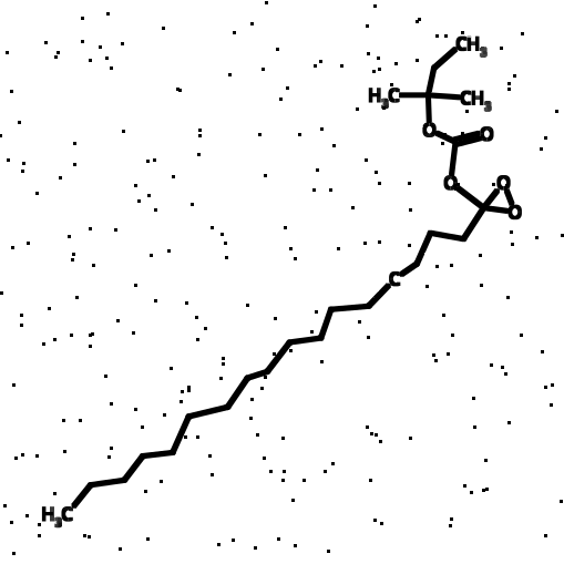 CCCCCCCCCCCCCCCCCC1(OC(=O)OC(C)(C)CC)OO1